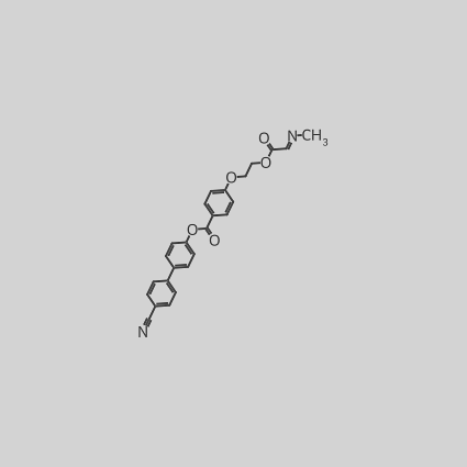 C/N=C/C(=O)OCCOc1ccc(C(=O)Oc2ccc(-c3ccc(C#N)cc3)cc2)cc1